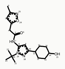 Cc1cc(CC(=O)Nc2cc(C3CCC(O)CC3)nn2C(C)(C)C)on1